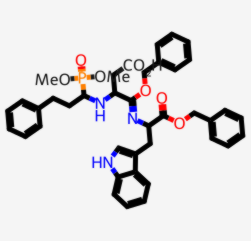 COP(=O)(OC)C(CCc1ccccc1)NC(CC(=O)O)C(=NC(Cc1c[nH]c2ccccc12)C(=O)OCc1ccccc1)OCc1ccccc1